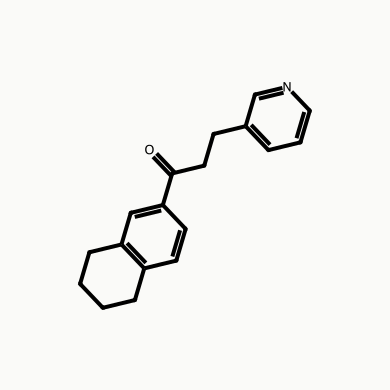 O=C(CCc1cccnc1)c1ccc2c(c1)CCCC2